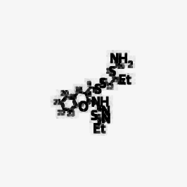 CCc1nnc(NC(=O)C(CSSCC(CC)SCN)Cc2ccccc2)s1